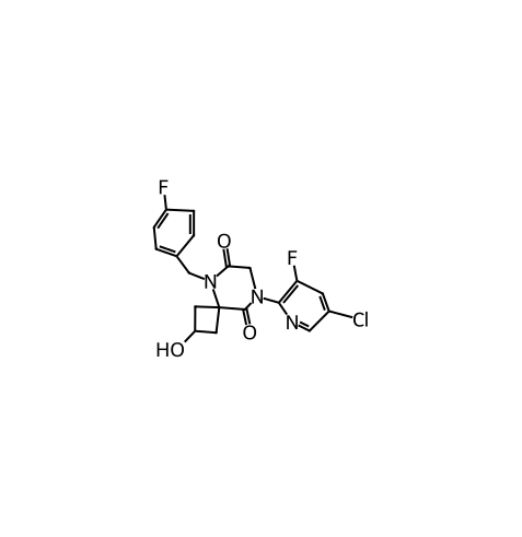 O=C1CN(c2ncc(Cl)cc2F)C(=O)C2(CC(O)C2)N1Cc1ccc(F)cc1